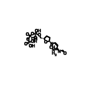 CN(/C=C\C(N)=N/C=O)[C@H]1CC[C@@H](COP(=O)(O)OP(=O)(O)OP(=O)(O)O)O1